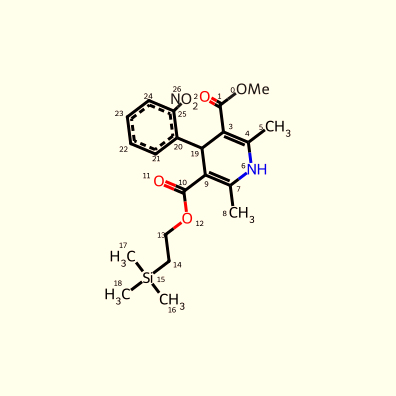 COC(=O)C1=C(C)NC(C)=C(C(=O)OCC[Si](C)(C)C)C1c1ccccc1[N+](=O)[O-]